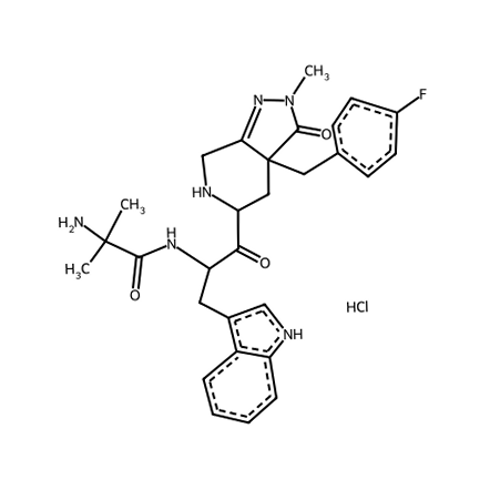 CN1N=C2CNC(C(=O)C(Cc3c[nH]c4ccccc34)NC(=O)C(C)(C)N)CC2(Cc2ccc(F)cc2)C1=O.Cl